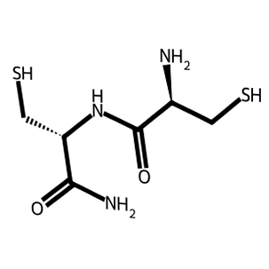 NC(=O)[C@H](CS)NC(=O)[C@@H](N)CS